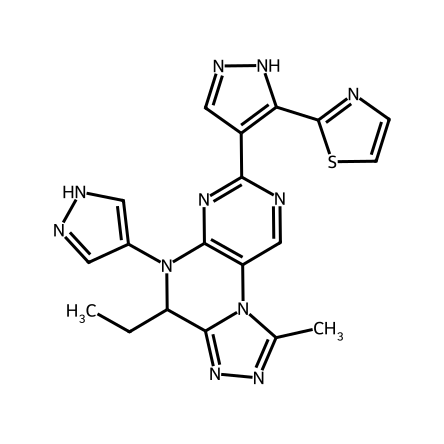 CCC1c2nnc(C)n2-c2cnc(-c3cn[nH]c3-c3nccs3)nc2N1c1cn[nH]c1